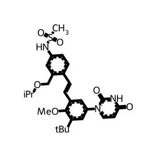 COc1c(C=Cc2ccc(NS(C)(=O)=O)cc2COC(C)C)cc(-n2ccc(=O)[nH]c2=O)cc1C(C)(C)C